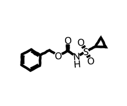 O=C(NS(=O)(=O)C1CC1)OCc1ccccc1